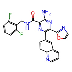 Nc1nc(-c2ncco2)c(-c2ccc3ncccc3c2)nc1C(=O)NCc1c(F)cccc1F